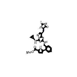 COC(=O)c1ccc(-c2ccccc2CNc2nc(NC3CC3)n3ncc(/C=C4\NC(=O)NC4=O)c3n2)[nH]1